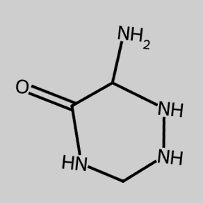 NC1NNCNC1=O